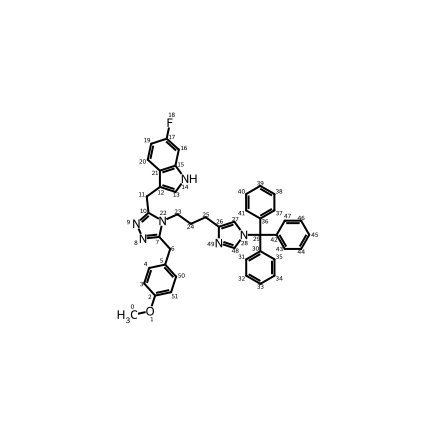 COc1ccc(Cc2nnc(Cc3c[nH]c4cc(F)ccc34)n2CCCc2cn(C(c3ccccc3)(c3ccccc3)c3ccccc3)cn2)cc1